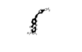 CC1=NSC(C#Cc2ccc3c(=O)n4c(nc3c2)CCC(C)(C)C4)C1